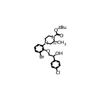 C[C@H]1CN(c2cccc(Br)c2OCC(O)c2ccc(Cl)cc2)CCN1C(=O)OC(C)(C)C